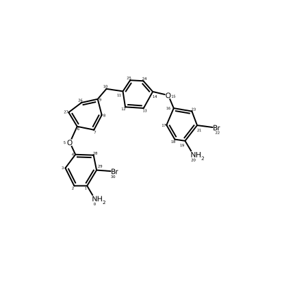 Nc1ccc(Oc2ccc(Cc3ccc(Oc4ccc(N)c(Br)c4)cc3)cc2)cc1Br